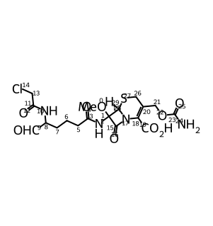 COC1(NC(=O)CCCC(C=O)NC(=O)CCl)C(=O)N2C(C(=O)O)=C(COC(N)=O)CS[C@H]21